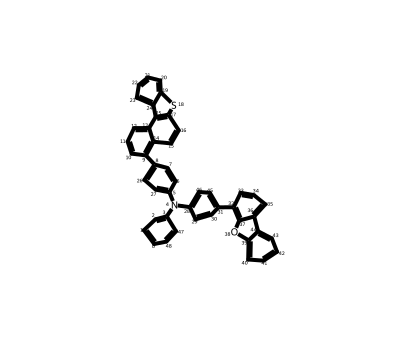 c1ccc(N(c2ccc(-c3cccc4c3ccc3sc5ccccc5c34)cc2)c2ccc(-c3cccc4c3oc3ccccc34)cc2)cc1